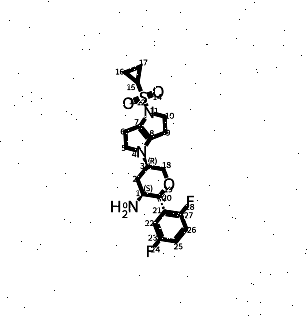 N[C@H]1C[C@@H](N2CCC3=C2CCN3S(=O)(=O)C2CC2)CO[C@@H]1c1cc(F)ccc1F